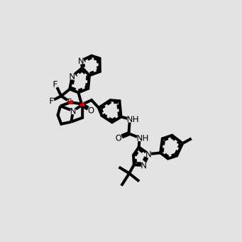 Cc1ccc(-n2nc(C(C)(C)C)cc2NC(=O)Nc2ccc(CC3CC4CCC(C3)N4C(=O)c3cc4cccnc4nc3C(F)(F)F)cc2)cc1